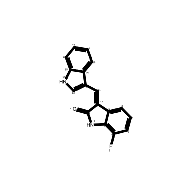 O=C1Nc2c(F)cccc2C1=Cc1c[nH]c2ccccc12